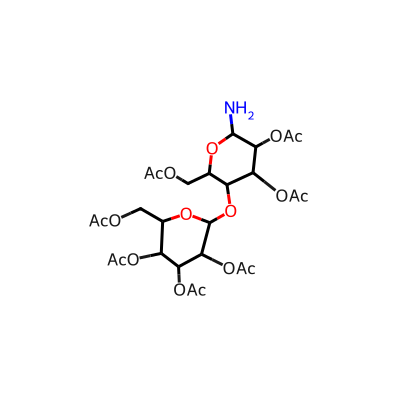 CC(=O)OCC1OC(N)C(OC(C)=O)C(OC(C)=O)C1OC1OC(COC(C)=O)C(OC(C)=O)C(OC(C)=O)C1OC(C)=O